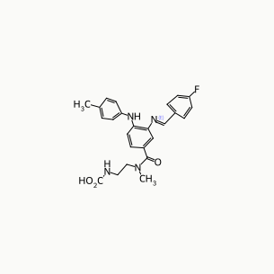 Cc1ccc(Nc2ccc(C(=O)N(C)CCNC(=O)O)cc2/N=C/c2ccc(F)cc2)cc1